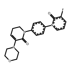 O=C1C(N2CCOCC2)=CCCN1c1ccc(-n2cccc(F)c2=O)cc1